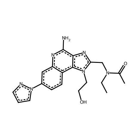 CCN(Cc1nc2c(N)nc3cc(-n4cccn4)ccc3c2n1CCO)C(C)=O